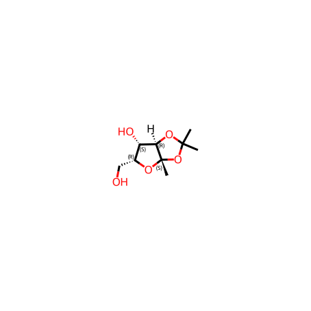 CC1(C)O[C@@H]2[C@@H](O)[C@@H](CO)O[C@@]2(C)O1